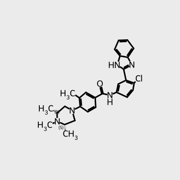 Cc1cc(C(=O)Nc2ccc(Cl)c(-c3nc4ccccc4[nH]3)c2)ccc1N1C[C@@H](C)N(C)[C@@H](C)C1